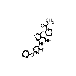 C=CC(=O)N1CCC[C@@H](C(=N)c2c(F)cncc2Nc2ccc(Oc3ccccc3)nc2F)C1